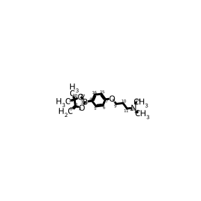 C=C1OB(c2ccc(OCCCN(C)C)cc2)OC1(C)C